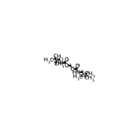 C[Si](C)(C)CNC(=O)OCOC(=O)NC[Si](C)(C)C